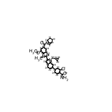 COc1cc(C(=O)N2CC3CCC2C3)cc2nc(-c3cc4ccc(-c5ccc(C(N)=O)c(Cl)c5)cc4n3CC3CC3)n(C)c12